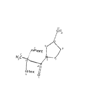 CCCCCCC(C)(CCCCC)C(=O)N1CCC(C)C1